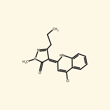 CCCC1=NN(C)C(=O)C1=C1C=C(Cl)c2ccccc2N1